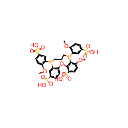 COc1ccc(S(=O)(=O)O)cc1P(CCCP(c1cc(S(=O)(=O)O)ccc1OC)c1cc(S(=O)(=O)O)ccc1OC)c1cc(S(=O)(=O)O)ccc1OC